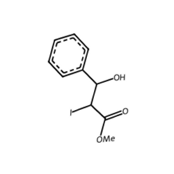 COC(=O)C(I)C(O)c1ccccc1